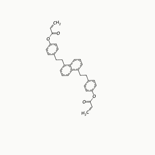 C=CC(=O)Oc1ccc(CCc2cccc3c(CCc4ccc(OC(=O)C=C)cc4)cccc23)cc1